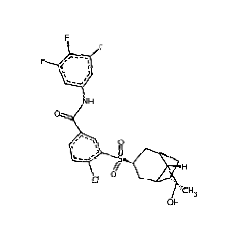 C[C@H]1CC2C[C@H](S(=O)(=O)c3cc(C(=O)Nc4cc(F)c(F)c(F)c4)ccc3Cl)CC1[C@H]2CO